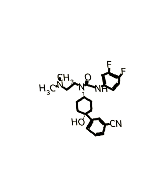 CN(C)CCN(C(=O)Nc1ccc(F)c(F)c1)[C@H]1CC[C@](O)(c2cccc(C#N)c2)CC1